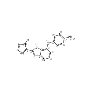 Cn1ccnc1-c1cc2nccc(Oc3ccc(N)nc3)c2s1